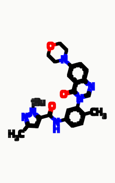 Cc1cc(C(=O)Nc2ccc(C)c(-n3cnc4ccc(N5CCOCC5)cc4c3=O)c2)n(C(C)(C)C)n1